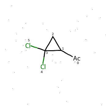 CC(=O)C1CC1(Cl)Cl